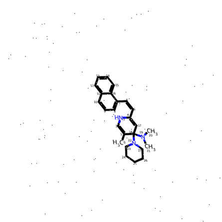 CC1=CNC(/C=C\c2cccc3ccccc23)=CC1(N(C)C)N1CCCCC1